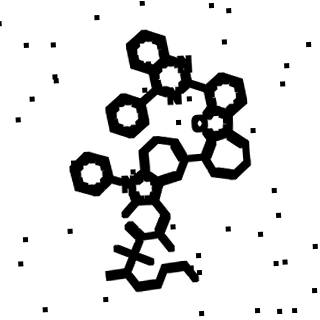 C=C(/C=C\C=C/C)C(C)(C)C(=C)/C(C)=C\c1c(C)n(-c2ccccc2)c2c1=CC(C1=c3oc4c(-c5nc(-c6ccccc6)c6ccccc6n5)cccc4c3=CCC=C1)=CCC=2